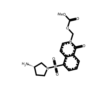 COC(=O)OCn1ccc2c(S(=O)(=O)N3CC[C@H](N)C3)cccc2c1=O